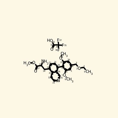 CCOCc1cc(OC)c(-c2ccc(CC(N)C(=O)OC)c3ccncc23)c(OC)c1.O=C(O)C(F)(F)F